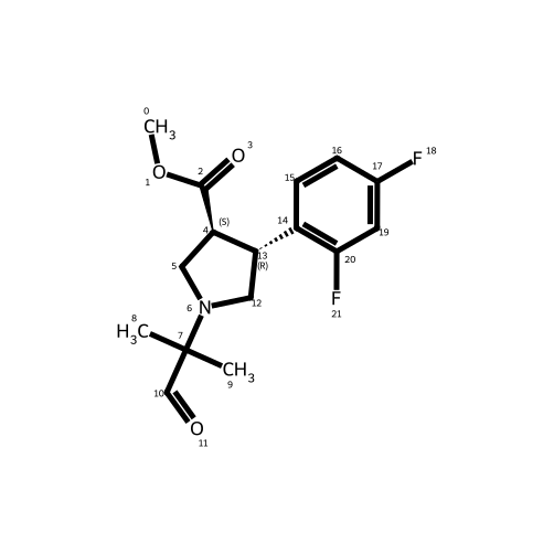 COC(=O)[C@@H]1CN(C(C)(C)C=O)C[C@H]1c1ccc(F)cc1F